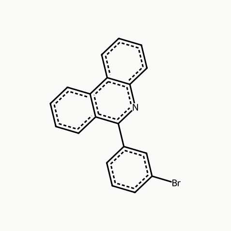 Brc1cccc(-c2nc3ccccc3c3ccccc23)c1